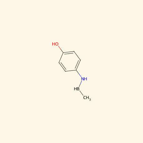 CBNc1ccc(O)cc1